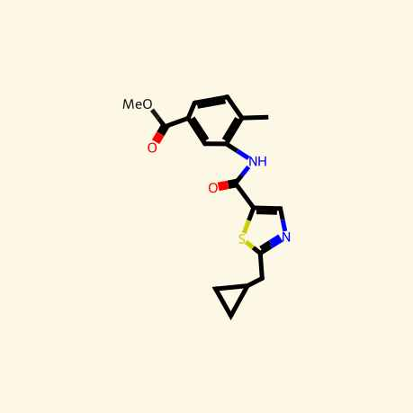 COC(=O)c1ccc(C)c(NC(=O)c2cnc(CC3CC3)s2)c1